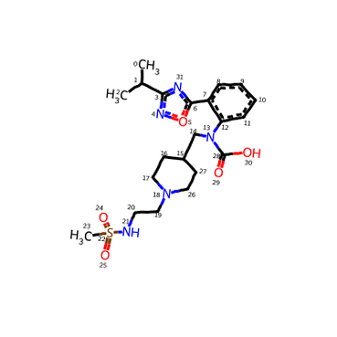 CC(C)c1noc(-c2ccccc2N(CC2CCN(CCNS(C)(=O)=O)CC2)C(=O)O)n1